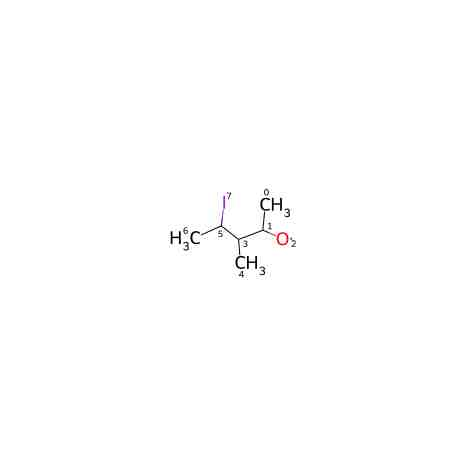 CC([O])C(C)C(C)I